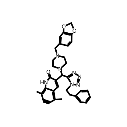 Cc1c#cc(C)c2[nH]c(=O)c(C(c3nnnn3CCc3ccccc3)N3CCN(Cc4ccc5c(c4)OCO5)CC3)cc12